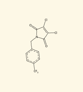 O=C1C(Cl)=C(Cl)C(=O)N1Cc1ccc(C(F)(F)F)cc1